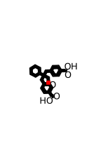 O=CCC(Cc1ccc(C(=O)O)cc1)(Cc1ccc(C(=O)O)cc1)C1CCCCC1